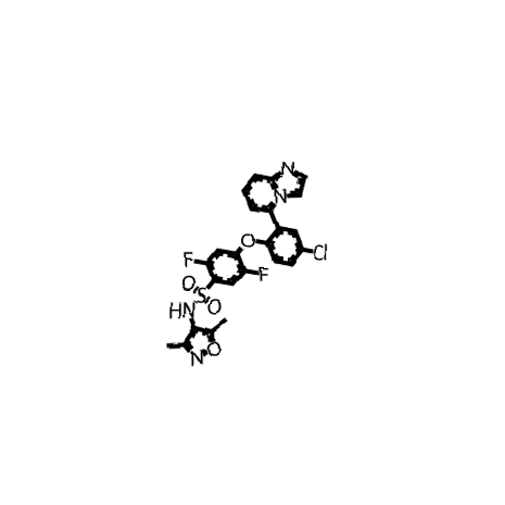 Cc1noc(C)c1NS(=O)(=O)c1cc(F)c(Oc2ccc(Cl)cc2-c2cccc3nccn23)cc1F